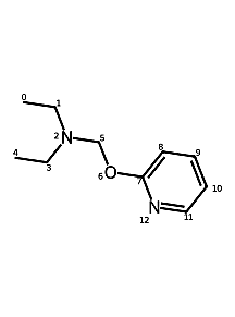 CCN(CC)COc1ccccn1